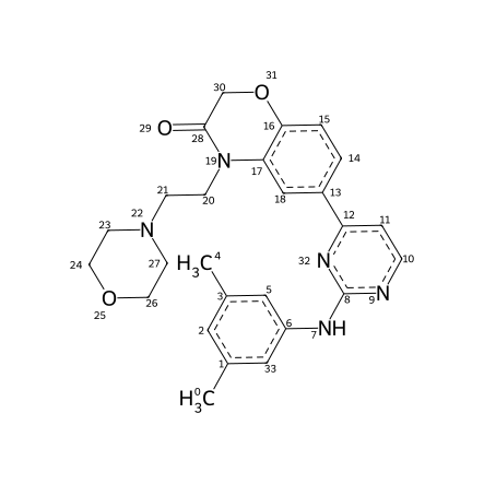 Cc1cc(C)cc(Nc2nccc(-c3ccc4c(c3)N(CCN3CCOCC3)C(=O)CO4)n2)c1